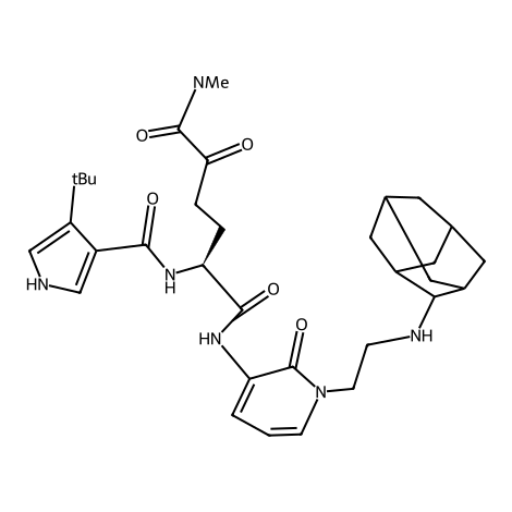 CNC(=O)C(=O)CC[C@H](NC(=O)c1c[nH]cc1C(C)(C)C)C(=O)Nc1cccn(CCNC2C3CC4CC(C3)CC2C4)c1=O